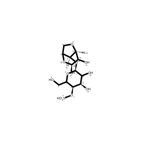 O=S(=O)(O)O[C@H]1C(CO)O[C@@H](O[C@H]2C3CO[C@H]2C(O)[C@@H](O)O3)C(O)[C@H]1O